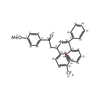 COc1ccc(C(=O)CC(N=C(c2ccccc2)c2ccccc2)c2ccc(C(F)(F)F)cc2)cc1